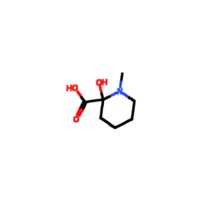 CN1CCCCC1(O)C(=O)O